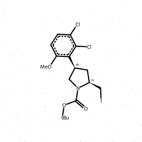 COc1ccc(Cl)c(Cl)c1[C@H]1C[C@@H](CI)N(C(=O)OC(C)(C)C)C1